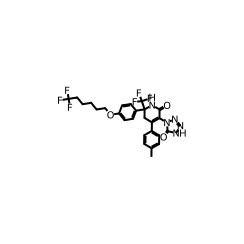 Cc1ccc(C2=C(n3nn[nH]c3=O)C(=O)NC(c3ccc(OCCCCCC(F)(F)F)cc3)(C(F)(F)F)C2)cc1